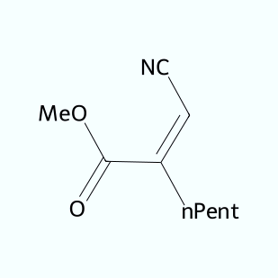 CCCCCC(=CC#N)C(=O)OC